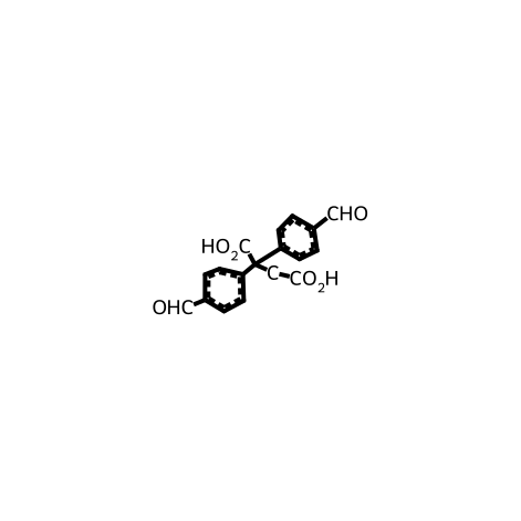 O=Cc1ccc(C(CC(=O)O)(C(=O)O)c2ccc(C=O)cc2)cc1